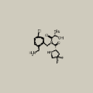 CC(C)(C)[C@@H](O)C(=O)N(Cc1cc(Cl)ccc1CN)C(=O)[C@@H]1CC(F)(F)CN1